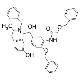 CC(Cc1ccc(O)cc1)N(Cc1ccccc1)CC(O)c1ccc(OCc2ccccc2)c(NC(=O)COCc2ccccc2)c1